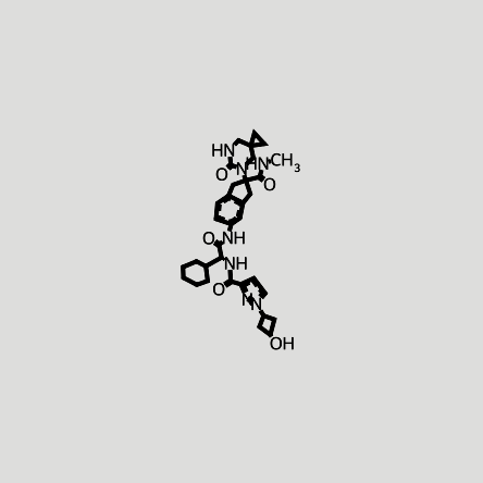 CNC(=O)C1(N2CC3(CC3)CNC2=O)Cc2ccc(NC(=O)[C@@H](NC(=O)c3ccn(C4CC(O)C4)n3)C3CCCCC3)cc2C1